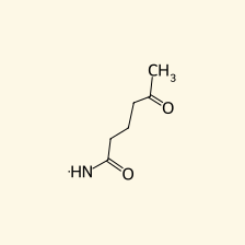 CC(=O)CCCC([NH])=O